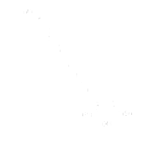 CCCC=CCC=CCCCCCCCc1ccc(C(C)(C)C)c(O)c1C(C)(C)C